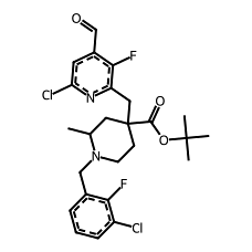 CC1CC(Cc2nc(Cl)cc(C=O)c2F)(C(=O)OC(C)(C)C)CCN1Cc1cccc(Cl)c1F